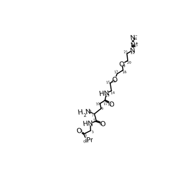 CC(C)C(=O)CNC(=O)[C@@H](N)CCC(=O)NCCOCCOCCN=[N+]=[N-]